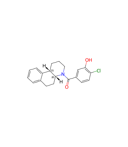 O=C(c1ccc(Cl)c(O)c1)N1CCC[C@H]2c3ccccc3CC[C@H]21